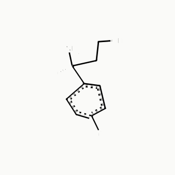 CC[C@](N)(CCO)c1ccc(Cl)cc1